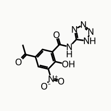 CC(=O)c1cc(C(=O)Nc2nnn[nH]2)c(O)c([N+](=O)[O-])c1